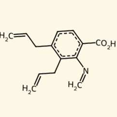 C=CCc1ccc(C(=O)O)c(N=C)c1CC=C